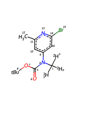 [2H]C([2H])([2H])N(C(=O)OC(C)(C)C)c1cc(C)nc(Br)c1